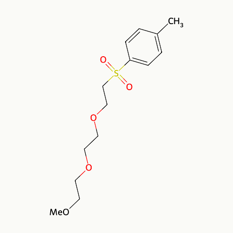 COCCOCCOCCS(=O)(=O)c1ccc(C)cc1